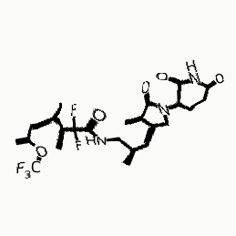 C=C(/C=C1/CN(C2CCC(=O)NC2=O)C(=O)C1=C)CNC(=O)C(F)(F)C(=C)/C(C)=C\C(=C)OC(F)(F)F